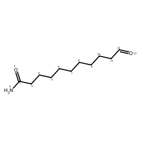 NC(=O)CCCCCCCCCC=O